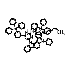 C=C(/C=C\C=CC=C/C=C\C)Nc1nc(-c2cccc([Si](c3ccccc3)(c3ccccc3)c3ccccc3)c2)nc(-n2c3ccccc3c3ccc4c(c5ccc([Si](c6ccccc6)(c6ccccc6)c6ccccc6)cc5n4-c4ccccc4)c32)n1